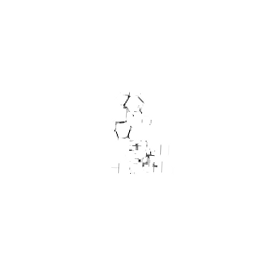 Cc1ccc(=O)n(-c2cccc(B3OC(C)(C)C(C)(C)O3)c2)c1